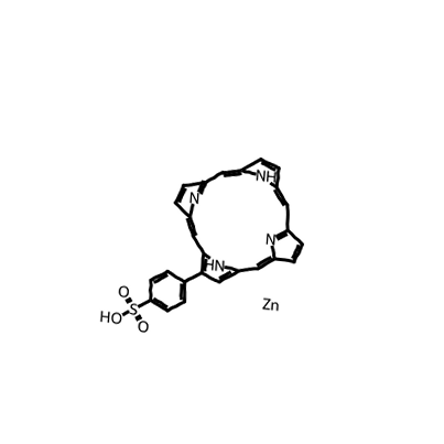 O=S(=O)(O)c1ccc(-c2cc3cc4nc(cc5ccc(cc6nc(cc2[nH]3)C=C6)[nH]5)C=C4)cc1.[Zn]